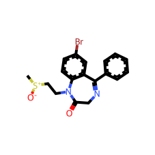 C[S+]([O-])CCN1C(=O)CN=C(c2ccccc2)c2cc(Br)ccc21